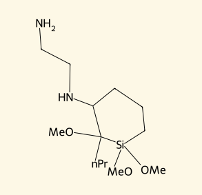 CCCC1(OC)C(NCCN)CCC[Si]1(OC)OC